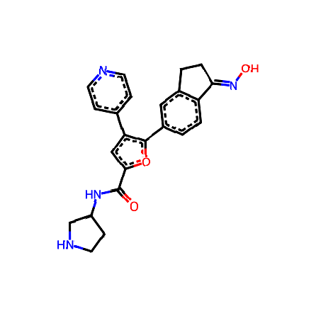 O=C(NC1CCNC1)c1cc(-c2ccncc2)c(-c2ccc3c(c2)CCC3=NO)o1